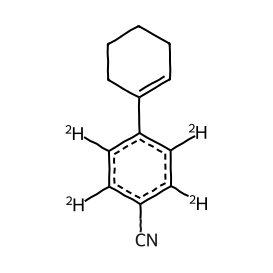 [2H]c1c([2H])c(C2=CCCCC2)c([2H])c([2H])c1C#N